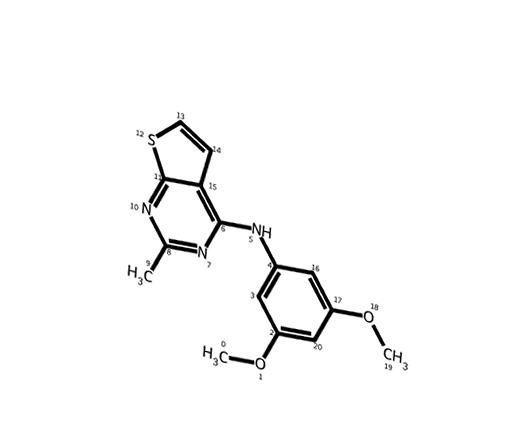 COc1cc(Nc2nc(C)nc3sccc23)cc(OC)c1